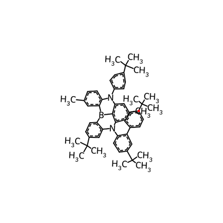 Cc1ccc2c(c1)B1c3ccc(C(C)(C)C)cc3N(c3ccc(C(C)(C)C)cc3-c3ccc(C(C)(C)C)cc3)c3cc(C)cc(c31)N2c1ccc(C(C)(C)C)cc1